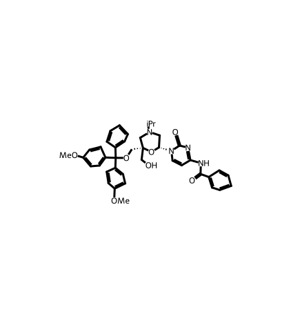 COc1ccc(C(OC[C@]2(CO)CN(C(C)C)C[C@H](n3ccc(NC(=O)c4ccccc4)nc3=O)O2)(c2ccccc2)c2ccc(OC)cc2)cc1